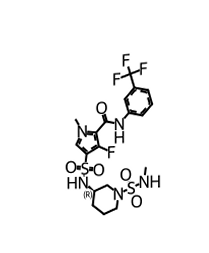 CNS(=O)(=O)N1CCC[C@@H](NS(=O)(=O)c2cn(C)c(C(=O)Nc3cccc(C(F)(F)F)c3)c2F)C1